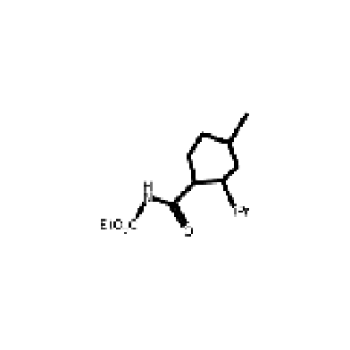 CCOC(=O)NC(=O)C1CCC(C)CC1C(C)C